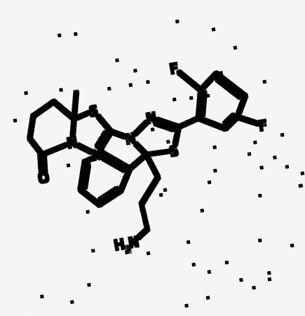 CC12CCCC(=O)N1N=C(N1N=C(c3cc(F)ccc3F)SC1(CCCN)c1ccccc1)S2